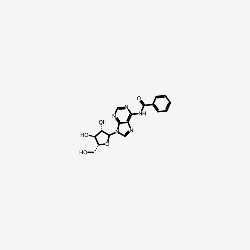 O=C(Nc1ncnc2c1ncn2C1O[C@H](CO)[C@@H](O)[C@@H]1O)c1ccccc1